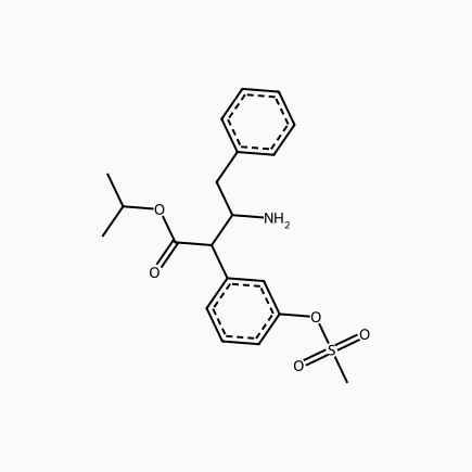 CC(C)OC(=O)C(c1cccc(OS(C)(=O)=O)c1)C(N)Cc1ccccc1